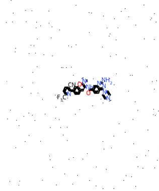 CN1CCN(c2nc(N)nc3cc(C(=O)N[C@@H](Cc4ccc(-c5nc(C(F)(F)F)ccc5C#N)cc4)C(=O)N(C)C)ccc23)CC1